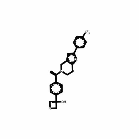 C=C(c1ccc(C2(O)COC2)cc1)N1CCc2sc(-c3ccc(C(F)(F)F)cc3)cc2C1